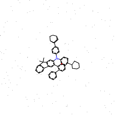 CC1(C)c2ccccc2-c2cc(-c3ccccc3-c3ccccc3)c(N(c3ccc(C4CCCCC4)cc3)c3ccc(C4CC5CCC4CC5)cc3)cc21